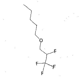 CCCCCOCC(F)C(F)(F)F